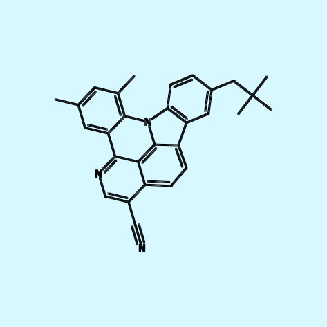 Cc1cc(C)c2c(c1)c1ncc(C#N)c3ccc4c5cc(CC(C)(C)C)ccc5n2c4c31